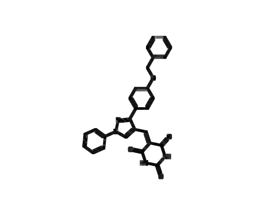 O=C1NC(=O)C(=Cc2cn(-c3ccccc3)nc2-c2ccc(OCc3ccccc3)cc2)C(=O)N1